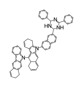 C1=CCC2C(=C1)C=c1c(c3c(n1-c1ccc4ccc(C5NC(c6ccccc6)=NC(c6ccccc6)N5)cc4c1)CCC=C3)=C2n1c2ccccc2c2cc3c(cc21)CCC=C3